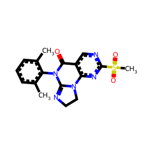 Cc1cccc(C)c1N1C(=O)c2cnc(S(C)(=O)=O)nc2N2CCN=C21